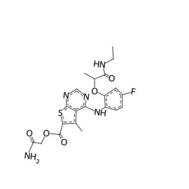 CCNC(=O)C(C)Oc1cc(F)ccc1Nc1ncnc2sc(C(=O)OCC(N)=O)c(C)c12